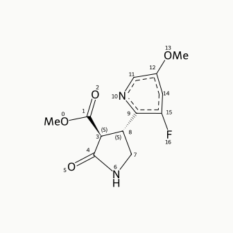 COC(=O)[C@@H]1C(=O)NC[C@H]1c1ncc(OC)cc1F